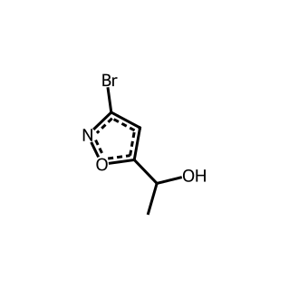 CC(O)c1cc(Br)no1